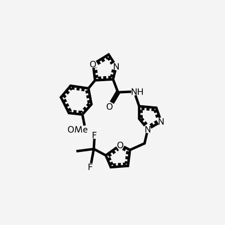 COc1cccc(-c2ocnc2C(=O)Nc2cnn(Cc3ccc(C(C)(F)F)o3)c2)c1